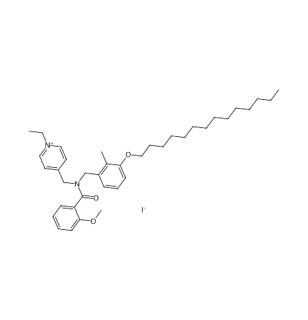 CCCCCCCCCCCCCCOc1cccc(CN(Cc2cc[n+](CC)cc2)C(=O)c2ccccc2OC)c1C.[I-]